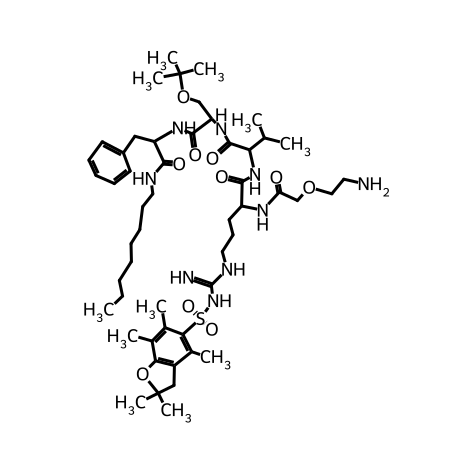 CCCCCCCCNC(=O)C(Cc1ccccc1)NC(=O)C(COC(C)(C)C)NC(=O)C(NC(=O)C(CCCNC(=N)NS(=O)(=O)c1c(C)c(C)c2c(c1C)CC(C)(C)O2)NC(=O)COCCN)C(C)C